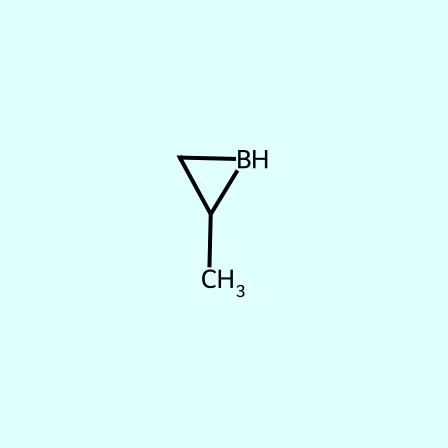 CC1BC1